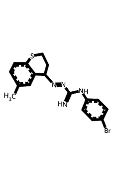 Cc1ccc2c(c1)C(N=NC(=N)Nc1ccc(Br)cc1)CCS2